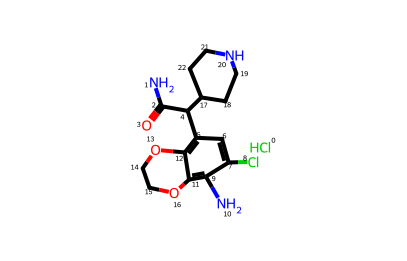 Cl.NC(=O)C(c1cc(Cl)c(N)c2c1OCCO2)C1CCNCC1